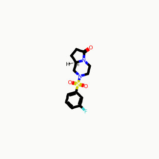 O=C1CC[C@@H]2CN(S(=O)(=O)c3cccc(F)c3)CCN12